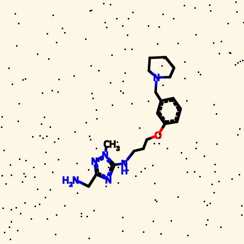 Cn1nc(CN)nc1NCCCOc1cccc(CN2CCCCC2)c1